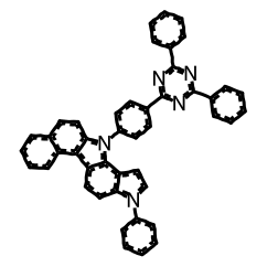 c1ccc(-c2nc(-c3ccccc3)nc(-c3ccc(-n4c5ccc6ccccc6c5c5ccc6c(ccn6-c6ccccc6)c54)cc3)n2)cc1